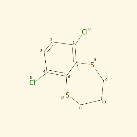 Clc1ccc(Cl)c2c1SCCCS2